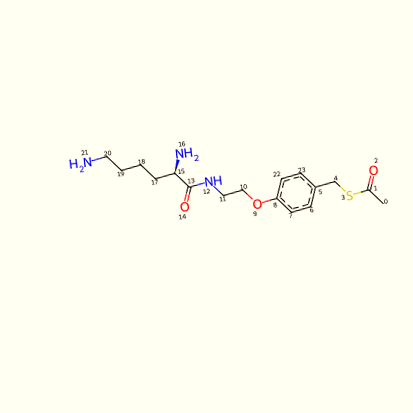 CC(=O)SCc1ccc(OCCNC(=O)[C@H](N)CCCCN)cc1